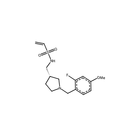 C=CS(=O)(=O)NC[C@H]1CCN(Cc2ccc(OC)cc2F)C1